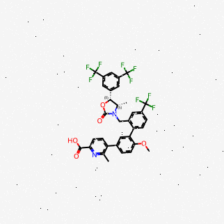 COc1ccc(-c2ccc(C(=O)O)nc2C)cc1-c1ccc(C(F)(F)F)cc1CN1C(=O)O[C@H](c2cc(C(F)(F)F)cc(C(F)(F)F)c2)[C@@H]1C